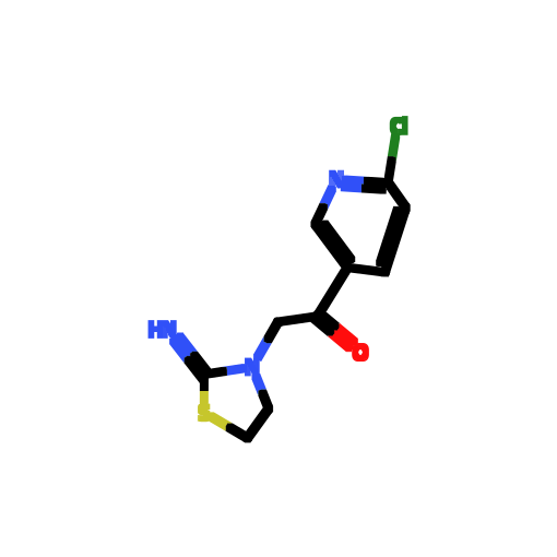 N=C1SCCN1CC(=O)c1ccc(Cl)nc1